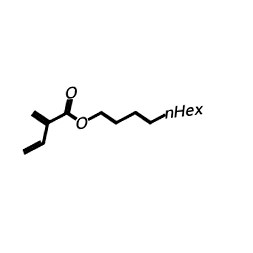 C=CC(=C)C(=O)OCCCCCCCCCC